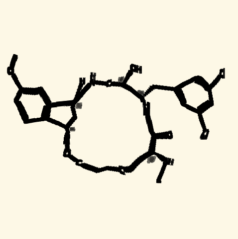 CN[C@H]1CCCCO[C@@H]2C[C@H](NC[C@@H](O)[C@H](Cc3cc(Cl)cc(Cl)c3)NC1=O)c1cc(OC)ccc12